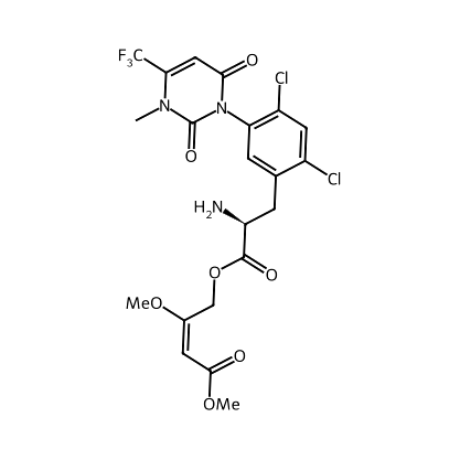 COC(=O)/C=C(\COC(=O)[C@@H](N)Cc1cc(-n2c(=O)cc(C(F)(F)F)n(C)c2=O)c(Cl)cc1Cl)OC